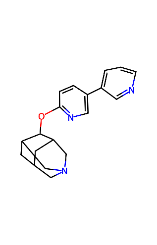 c1cncc(-c2ccc(OC3C4CC5CC3CN(C5)C4)nc2)c1